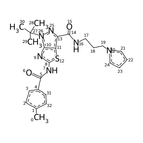 Cc1ccc(C(=O)Nc2nc3c(s2)c(C(=O)NCCCn2cccc2)nn3C(C)(C)C)cc1